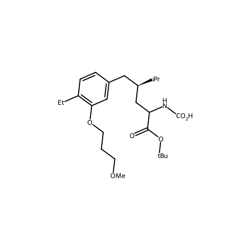 CCc1ccc(C[C@H](CC(NC(=O)O)C(=O)OC(C)(C)C)C(C)C)cc1OCCCOC